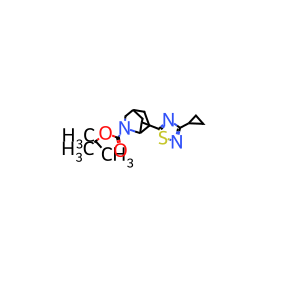 CC(C)(C)OC(=O)N1CC2CCC1C(c1nc(C3CC3)ns1)C2